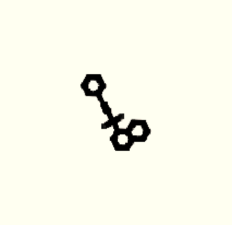 O=S(=O)(C#Cc1ccccc1)c1cccc2ccccc12